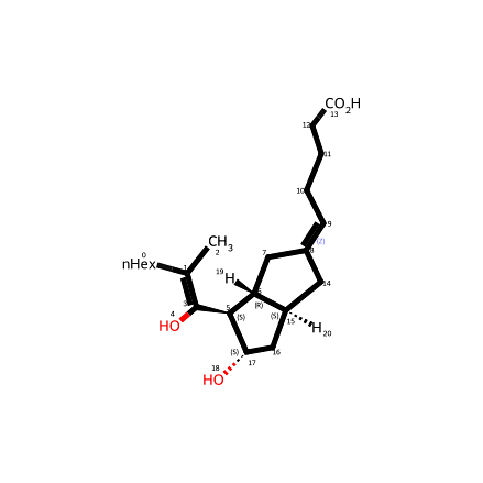 CCCCCCC(C)=C(O)[C@H]1[C@@H]2C/C(=C\CCCC(=O)O)C[C@H]2C[C@@H]1O